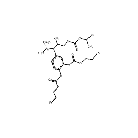 CC(C)CCOC(=O)Oc1ccc(C(C(C)COC(=O)OC(C)C(C)C)[C@H](N)C(=O)O)cc1OC(=O)OCCC(C)C